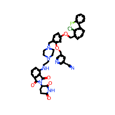 N#Cc1cncc(COc2cc(OCc3cccc(-c4ccccc4F)c3Cl)ccc2CN2CCN(CCNc3cccc4c3C(=O)N(C3CCC(=O)NC3=O)C4=O)CC2)c1